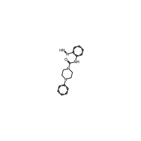 N=Nc1ccccc1NC(=O)N1CCN(c2ccccc2)CC1